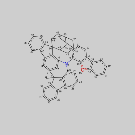 CC12c3cc4c(c(c3)N(c3cccc5c3oc3ccccc35)c3cccc(c31)-c1ccccc12)C1(c2ccccc2-4)C2CC3CC(C2)CC1C3